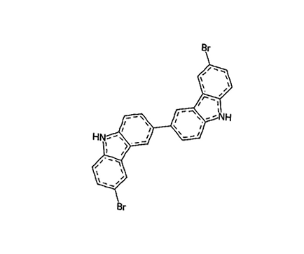 Brc1ccc2[nH]c3ccc(-c4ccc5[nH]c6ccc(Br)cc6c5c4)cc3c2c1